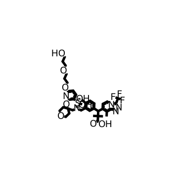 Cc1ccc(C(c2ccn3c(C(F)(F)F)nnc3c2C)C(C)(C)C(=O)O)cc1CN1CC2(CCOCC2)Oc2nc(OCCCOCCCO)ccc2S1(O)O